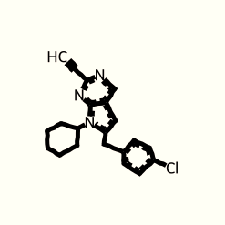 C#Cc1ncc2cc(Cc3ccc(Cl)cc3)n(C3CCCCC3)c2n1